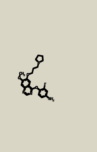 COc1cc2ncnc(Oc3ccc(N)cc3F)c2cc1OCCCN1CCCC1